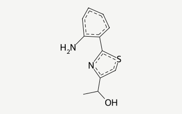 CC(O)c1csc(-c2ccccc2N)n1